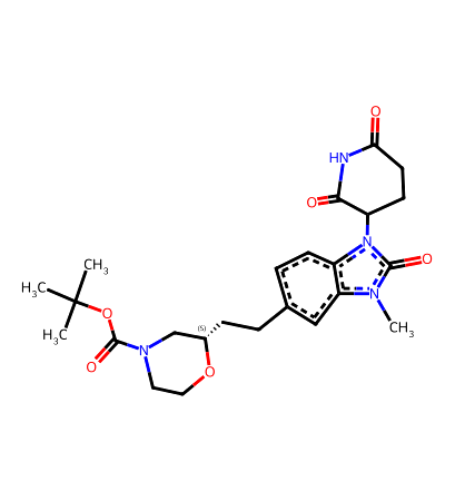 Cn1c(=O)n(C2CCC(=O)NC2=O)c2ccc(CC[C@H]3CN(C(=O)OC(C)(C)C)CCO3)cc21